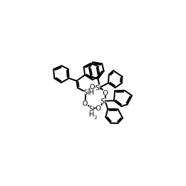 C(=C(c1ccccc1)c1ccccc1)[SiH]1O[SiH2]O[Si](c2ccccc2)(c2ccccc2)O[Si](c2ccccc2)(c2ccccc2)O1